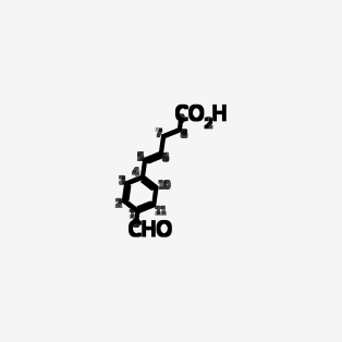 O=Cc1ccc(C=CCCC(=O)O)cc1